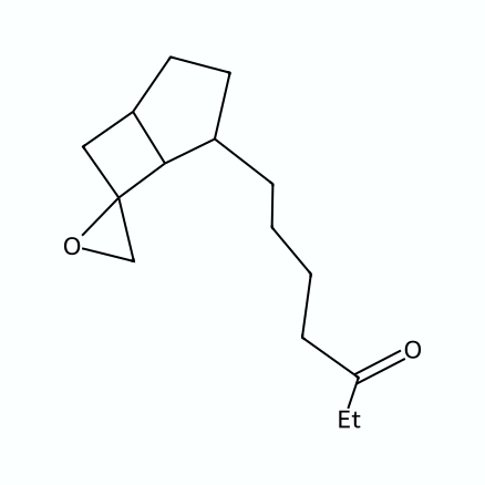 CCC(=O)CCCCC1CCC2CC3(CO3)C12